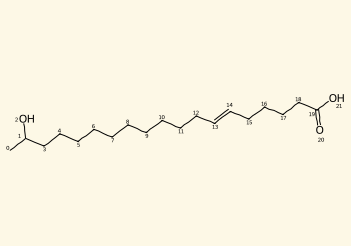 CC(O)CCCCCCCCCCC=CCCCCC(=O)O